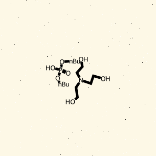 CCCCOP(=O)(O)OCCCC.OCCN(CCO)CCO